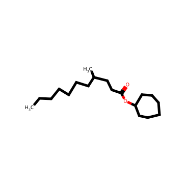 CCCCCCCC(C)CCC(=O)OC1CCCCCC1